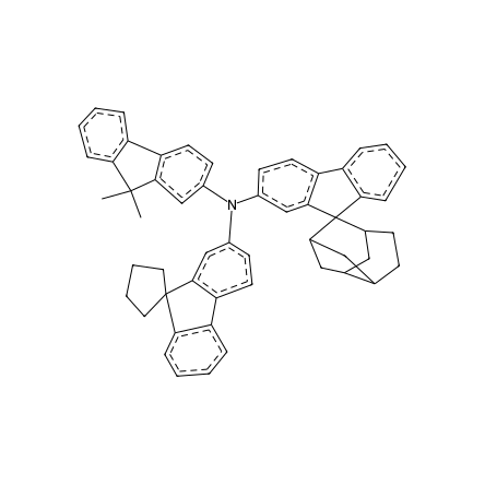 CC1(C)c2ccccc2-c2ccc(N(c3ccc4c(c3)C3(CCCC3)c3ccccc3-4)c3ccc4c(c3)C3(c5ccccc5-4)C4CCC5CC3CC5C4)cc21